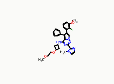 COCCO[C@H]1C[C@H](Nc2nc(-c3nccn3C)nn3cc(-c4cccc(OC)c4F)c(-c4ccccc4)c23)C1